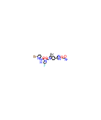 CC(=O)c1cn(CC(=O)N2C[C@H](F)C[C@H]2C(=O)Nc2cccc(Br)n2)c2ccc(-c3cnc(OCC(=O)N(C)C)nc3)cc12